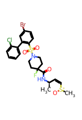 C[C@H](/C=C\[S+](C)[O-])NC(=O)C1(F)CCN(S(=O)(=O)c2ccc(Br)cc2-c2ccccc2Cl)CC1